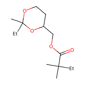 CCC1(C)OCCC(COC(=O)C(C)(C)CC)O1